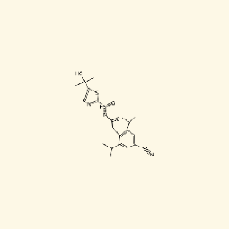 CC(C)c1cc(C#N)cc(C(C)C)c1CC(=O)N=[SH](=O)c1ncc(C(C)(C)O)s1